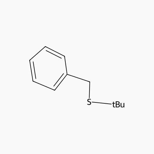 [CH2]C(C)(C)SCc1ccccc1